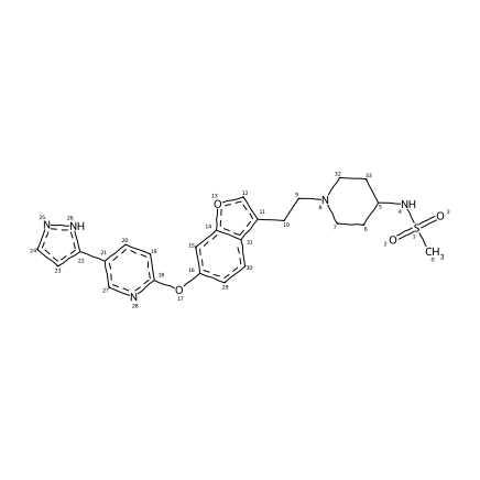 CS(=O)(=O)NC1CCN(CCc2coc3cc(Oc4ccc(-c5ccn[nH]5)cn4)ccc23)CC1